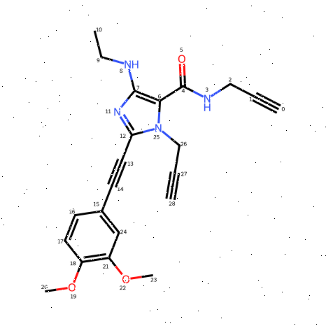 C#CCNC(=O)c1c(NCC)nc(C#Cc2ccc(OC)c(OC)c2)n1CC#C